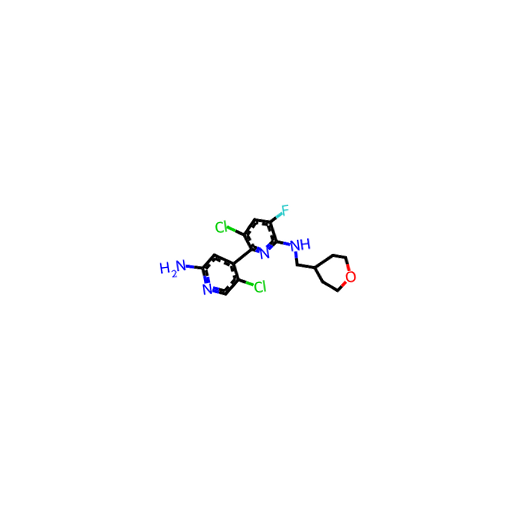 Nc1cc(-c2nc(NCC3CCOCC3)c(F)cc2Cl)c(Cl)cn1